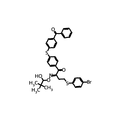 CC(C)(C)C(O)O/N=C(\CCSc1ccc(Br)cc1)C(=O)c1ccc(Sc2ccc(C(=O)c3ccccc3)cc2)cc1